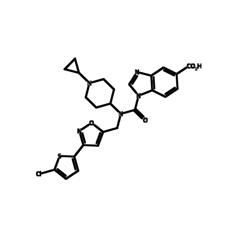 O=C(O)c1ccc2c(c1)ncn2C(=O)N(Cc1cc(-c2ccc(Cl)s2)no1)C1CCN(C2CC2)CC1